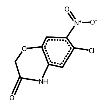 O=C1COc2cc([N+](=O)[O-])c(Cl)cc2N1